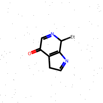 CCC1N=CC(=O)C2=C1N=CC2